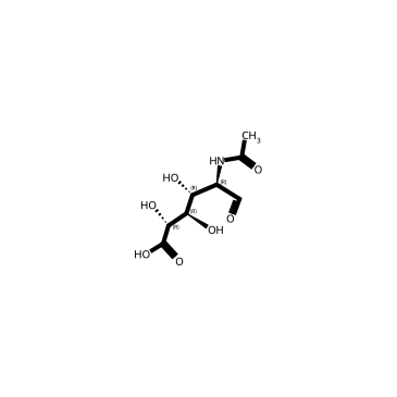 CC(=O)N[C@@H](C=O)[C@@H](O)[C@@H](O)[C@@H](O)C(=O)O